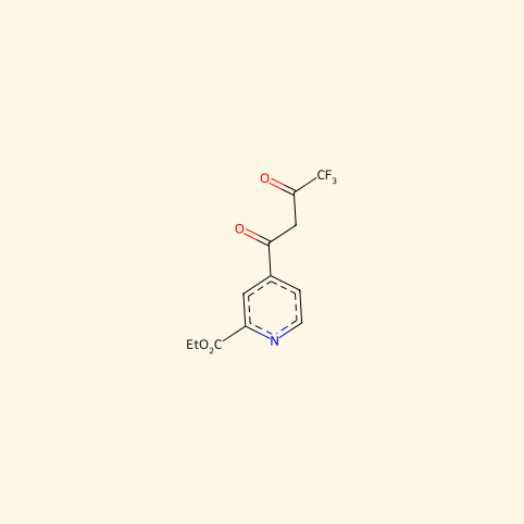 CCOC(=O)c1cc(C(=O)CC(=O)C(F)(F)F)ccn1